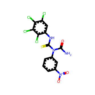 NC(=O)N(C(=S)Nc1cc(Cl)c(Cl)c(Cl)c1Cl)c1cccc([N+](=O)[O-])c1